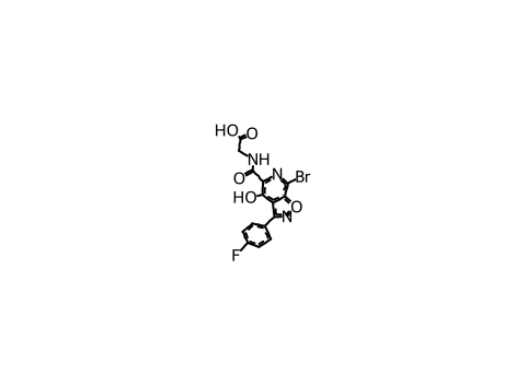 O=C(O)CNC(=O)c1nc(Br)c2onc(-c3ccc(F)cc3)c2c1O